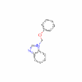 c1ccc(OCn2cnc3ccccc32)cc1